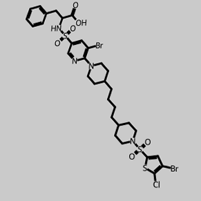 O=C(O)C(Cc1ccccc1)NS(=O)(=O)c1cnc(N2CCC(CCCCC3CCN(S(=O)(=O)c4cc(Br)c(Cl)s4)CC3)CC2)c(Br)c1